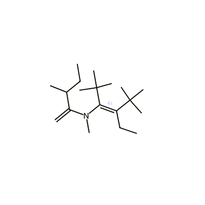 C=C(C(C)CC)N(C)/C(=C(\CC)C(C)(C)C)C(C)(C)C